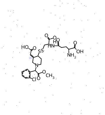 COC(=O)C(c1ccccc1Cl)N1CCC(SSCC(NC(=O)CCC(N)C(=O)O)C(=O)O)/C(=C\C(=O)O)C1